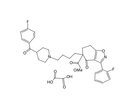 COC(=O)C1(CCCCN2CCC(C(=O)c3ccc(F)cc3)CC2)CCc2onc(-c3ccccc3F)c2C1=O.O=C(O)C(=O)O